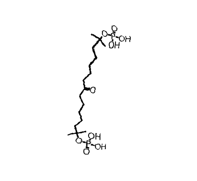 CC(C)(CCCCCC(=O)CCCCCC(C)(C)OP(=O)(O)O)OP(=O)(O)O